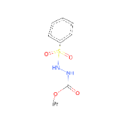 CC(C)OC(=O)NNS(=O)(=O)c1ccccc1